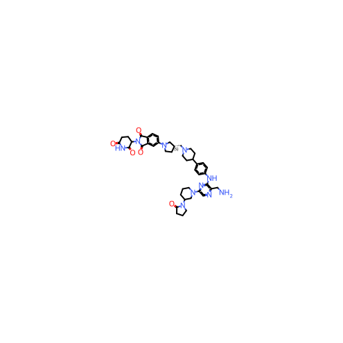 NCc1ncc(N2CCCC(N3CCCC3=O)C2)nc1Nc1ccc(C2CCN(C[C@@H]3CCN(c4ccc5c(c4)C(=O)N(C4CCC(=O)NC4=O)C5=O)C3)CC2)cc1